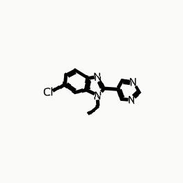 CCn1c(-c2cncnc2)nc2ccc(Cl)cc21